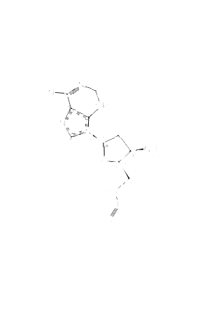 NC1=NCNc2c1ncn2[C@H]1C[C@@H](N)[C@@H](COP=O)O1